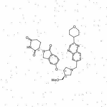 COC[C@@H]1CN(Cc2ccc3nc(C4CCOCC4)cnc3c2)C[C@H]1Oc1ccc2c(c1)CN([C@H]1CCC(=O)NC1=O)C2=O